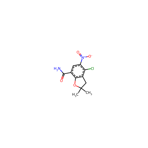 CC1(C)Cc2c(Cl)c([N+](=O)[O-])cc(C(N)=O)c2O1